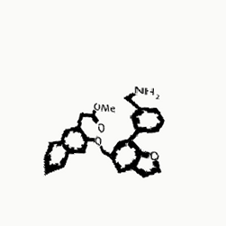 COC(=O)Cc1cc2ccccc2cc1OCc1cc(-c2cccc(CN)c2)c2occc2c1